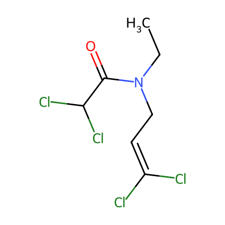 CCN(CC=C(Cl)Cl)C(=O)C(Cl)Cl